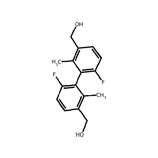 Cc1c(CO)ccc(F)c1-c1c(F)ccc(CO)c1C